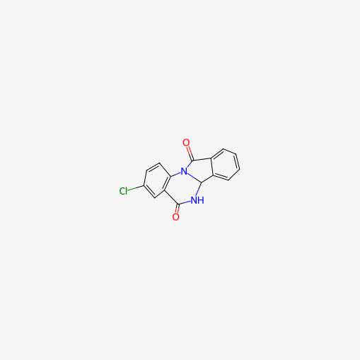 O=C1NC2c3ccccc3C(=O)N2c2ccc(Cl)cc21